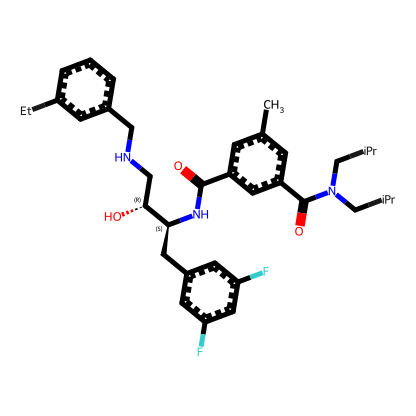 CCc1cccc(CNC[C@@H](O)[C@H](Cc2cc(F)cc(F)c2)NC(=O)c2cc(C)cc(C(=O)N(CC(C)C)CC(C)C)c2)c1